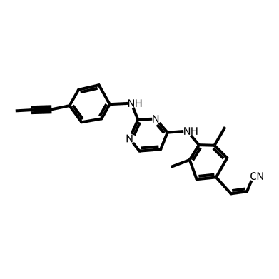 CC#Cc1ccc(Nc2nccc(Nc3c(C)cc(/C=C\C#N)cc3C)n2)cc1